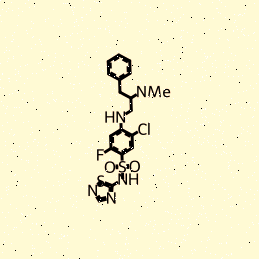 CNC(CNc1cc(F)c(S(=O)(=O)Nc2ncns2)cc1Cl)Cc1ccccc1